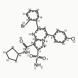 NS(=O)(=O)c1nn2c(-c3ccc(Cl)cc3)cc(-c3ccccc3Br)nc2c1C(=O)NC1CCCC1